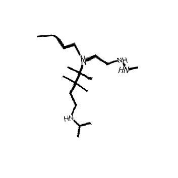 CCCCN(CCNNC)C(C)(C)C(C)(C)CCNC(C)C